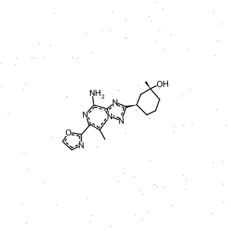 Cc1c(-c2ncco2)nc(N)c2nc([C@@H]3CCC[C@@](C)(O)C3)nn12